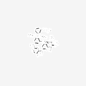 COc1cc(Nc2ncc(F)c(Nc3ccc4c(n3)NC(=O)C(C)(C)O4)n2)cc(OC)c1OC.O=S(=O)(O)c1ccccc1